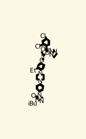 CCc1cc(OC[C@@H]2CO[C@@](Cn3nccn3)(c3ccc(Cl)cc3Cl)O2)ccc1N1CCN(c2ccc(-n3cnn(C(C)CC)c3=O)cc2)CC1